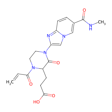 C=CC(=O)N1CCN(c2cn3cc(C(=O)NC)ccc3n2)C(=O)C1CCC(=O)O